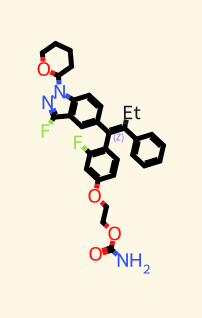 CC/C(=C(\c1ccc2c(c1)c(F)nn2C1CCCCO1)c1ccc(OCCOC(N)=O)cc1F)c1ccccc1